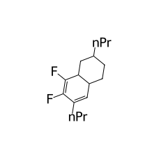 CCCC1=CC2CCC(CCC)CC2C(F)=C1F